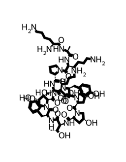 C[C@H](NC(=O)[C@@H](N)CCCCN)C(=O)N[C@@H](CCCCN)C(=O)N1CCC[C@H]1C(=O)N[C@@H](CO)C(=O)N[C@@H](Cc1ccc(O)cc1)C(=O)N1C[C@H](O)C[C@H]1C(=O)N1C[C@H](O)C[C@H]1C(=O)N[C@H](C(=O)N[C@@H](Cc1ccc(O)cc1)C(=O)N1C[C@H](O)C[C@H]1C(=O)N[C@@H](CCCCN)C(=O)O)[C@@H](C)O